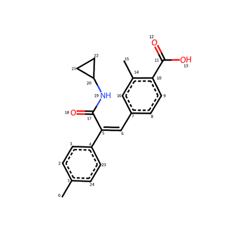 Cc1ccc(C(=Cc2ccc(C(=O)O)c(C)c2)C(=O)NC2CC2)cc1